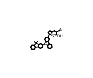 CC1(C)c2ccccc2-c2ccc(-n3c4ccccc4c4cc(-c5ccc(C=C(C#N)C(=O)O)s5)ccc43)cc21